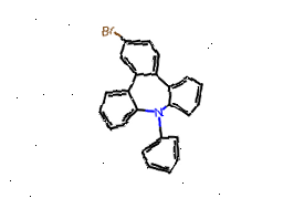 Brc1ccc2c(c1)-c1ccccc1N(c1ccccc1)c1ccccc1-2